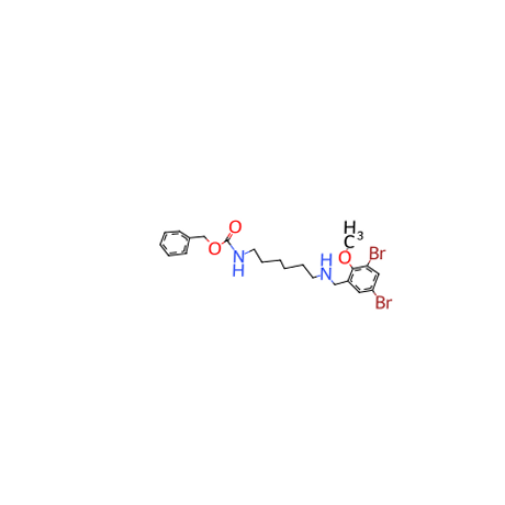 COc1c(Br)cc(Br)cc1CNCCCCCCNC(=O)OCc1ccccc1